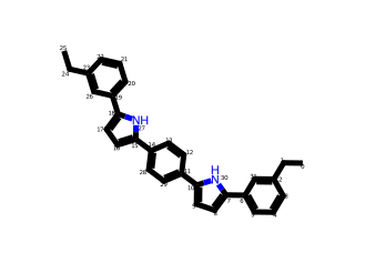 CCc1cccc(-c2ccc(-c3ccc(-c4ccc(-c5cccc(CC)c5)[nH]4)cc3)[nH]2)c1